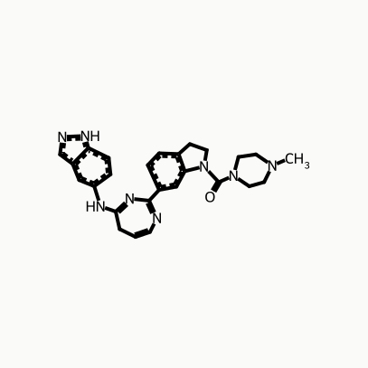 CN1CCN(C(=O)N2CCc3ccc(C4=NC=CCC(Nc5ccc6[nH]ncc6c5)=N4)cc32)CC1